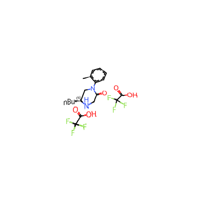 CCCC[C@H]1CN(c2ccccc2C)C(=O)CN1.O=C(O)C(F)(F)F.O=C(O)C(F)(F)F